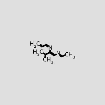 C=C\C=N/C(=C\N=C\C)C(C)C